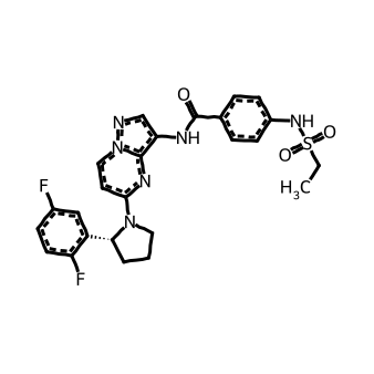 CCS(=O)(=O)Nc1ccc(C(=O)Nc2cnn3ccc(N4CCC[C@@H]4c4cc(F)ccc4F)nc23)cc1